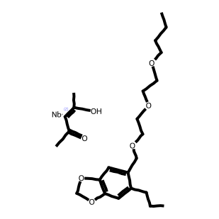 CC(=O)/C=C(/C)O.CCCCOCCOCCOCc1cc2c(cc1CCC)OCO2.[Nb]